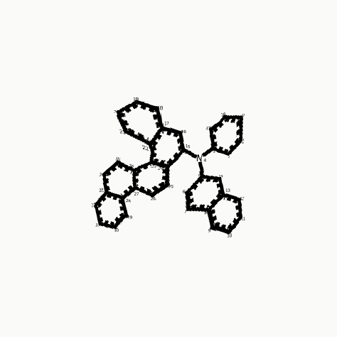 c1ccc(N(c2ccc3ccccc3c2)c2cc3ccccc3c3c2ccc2c4ccccc4ccc23)cc1